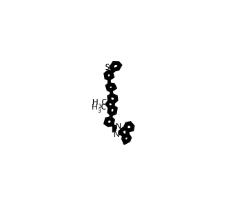 CC1(C)c2cc(-c3ccc(-c4ccc5sc6ccccc6c5c4)cc3)ccc2-c2ccc(-c3cccc(-c4cnc5c6ccccc6c6ccccc6c5n4)c3)cc21